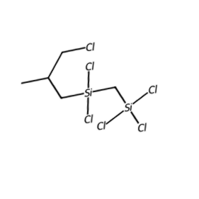 CC(CCl)C[Si](Cl)(Cl)C[Si](Cl)(Cl)Cl